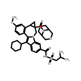 COc1ccc2c(c1)C1CC1(C(=O)N1C3COCC1COC3)Cn1c-2c(C2CCCCC2)c2ccc(C(=O)NS(=O)(=O)CC(C)C)cc21